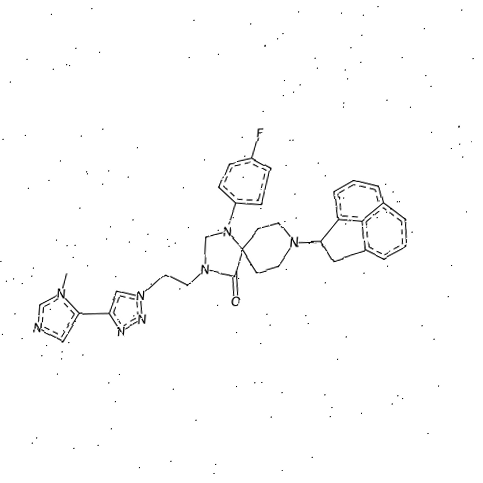 Cn1cncc1-c1cn(CCN2CN(c3ccc(F)cc3)C3(CCN(C4Cc5cccc6cccc4c56)CC3)C2=O)nn1